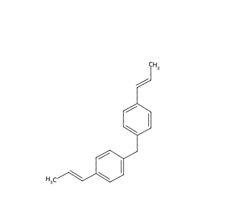 CC=Cc1ccc(Cc2ccc(C=CC)cc2)cc1